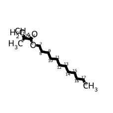 C.C=C(C)C(=O)OCCCCCCCCCCCC